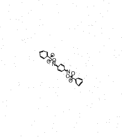 O=S(=O)(ON=C1C=CC(=NOS(=O)(=O)c2ccccc2)C=C1)c1ccccc1